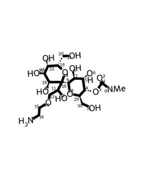 CNC(=O)O[C@H]1[C@@H](O)[C@H](O)[C@@H](C2(C(O)COCCN)O[C@@H](CO)[C@@H](O)[C@H](O)[C@@H]2O)O[C@@H]1CO